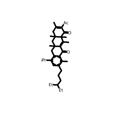 CCC(CC)CCCc1cc(C(C)C)c2c(c1C)C(=O)C1=C(C)C3(C)C(=O)C(C(C)=O)=C(C)CC3(C)CC1(C)C2